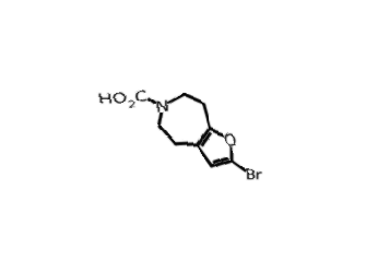 O=C(O)N1CCc2cc(Br)oc2CC1